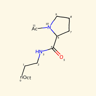 CCCCCCCCCCNC(=O)C1CCCN1C(C)=O